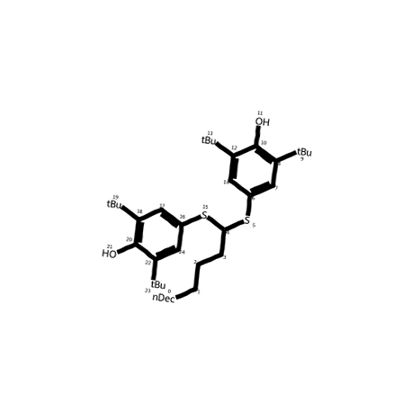 CCCCCCCCCCCCCC(Sc1cc(C(C)(C)C)c(O)c(C(C)(C)C)c1)Sc1cc(C(C)(C)C)c(O)c(C(C)(C)C)c1